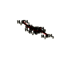 COc1cc(CNC(=O)CCCC/C=C/C(C)C)ccc1OC(=O)NCC(SSC(CNC(=O)Oc1ccc(CNC(=O)CCCC/C=C/C(C)C)cc1OC)C(N)=O)C(N)=O